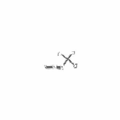 [N-]=[N+]=NC(Cl)(Cl)Cl